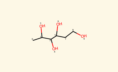 CC(O)C(O)C(O)[CH]CO